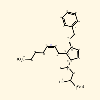 CCCCCC(O)CN(C)[C@H]1C=C[C@H](OCc2ccccc2)[C@@H]1C/C=C\CCCC(=O)O